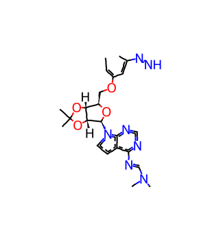 CC=C(/C=C(\C)N=N)OC[C@H]1O[C@@H](n2ccc3c(/N=C/N(C)C)ncnc32)[C@@H]2OC(C)(C)O[C@@H]21